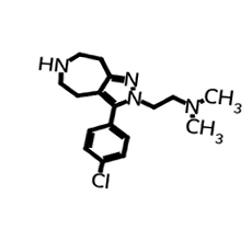 CN(C)CCn1nc2c(c1-c1ccc(Cl)cc1)CCNCC2